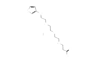 O=C([O-])CCOCCOCCOCCOc1ccsc1.[K+]